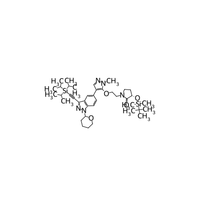 CC(C)[Si](C#Cc1nn(C2CCCCO2)c2ccc(-c3cnn(C)c3OCCN3CC[C@H](O[Si](C)(C)C(C)(C)C)C3=O)cc12)(C(C)C)C(C)C